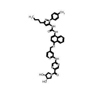 CCCCc1cc(NC(=O)Nc2ccc(OCc3ccnc(Nc4cnc(C(=O)N5C[C@H](O)[C@@H](O)C5)cn4)c3)c3ccccc23)n(-c2ccc(C)cc2)n1